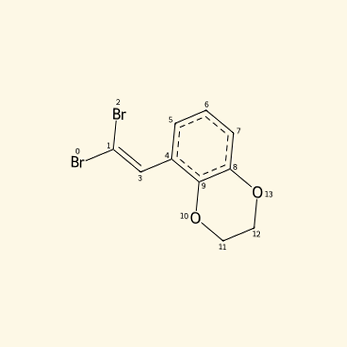 BrC(Br)=Cc1cccc2c1OCCO2